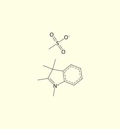 CC1=[N+](C)c2ccccc2C1(C)C.CS(=O)(=O)[O-]